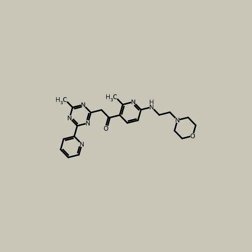 Cc1nc(CC(=O)c2ccc(NCCN3CCOCC3)nc2C)nc(-c2ccccn2)n1